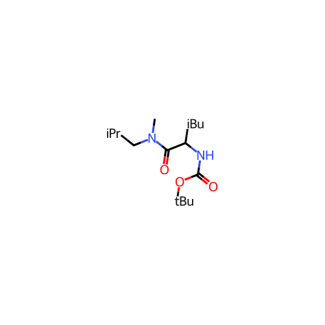 CCC(C)C(NC(=O)OC(C)(C)C)C(=O)N(C)CC(C)C